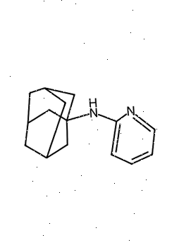 c1ccc(NC23CC4CC(CC(C4)C2)C3)nc1